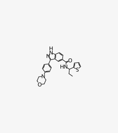 CCC(NC(=O)c1ccc2[nH]nc(-c3ccc(N4CCOCC4)cc3)c2c1)c1cccs1